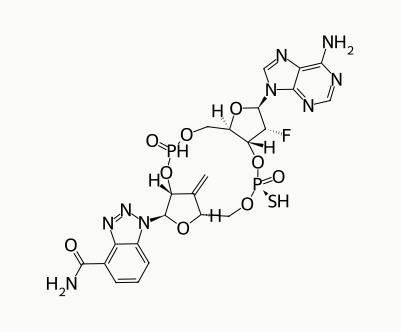 C=C1[C@H]2O[PH](=O)OC[C@H]3O[C@@H](n4cnc5c(N)ncnc54)[C@H](F)[C@@H]3O[P@@](=O)(S)OC[C@H]1O[C@H]2n1nnc2c(C(N)=O)cccc21